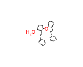 C(=Cc1ccccc1Oc1ccccc1C=Cc1ccccc1)c1ccccc1.O